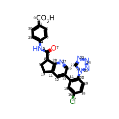 O=C(O)c1ccc(NC(=O)C2CCc3cc(-c4cc(Cl)ccc4-n4cnnn4)cnc32)cc1